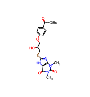 CC(C)COC(=O)c1ccc(OCC(O)CSc2nc3c([nH]2)c(=O)n(C)c(=O)n3C)cc1